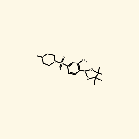 CN1CCN(S(=O)(=O)c2ccc(B3OC(C)(C)C(C)(C)O3)c(C(F)(F)F)c2)CC1